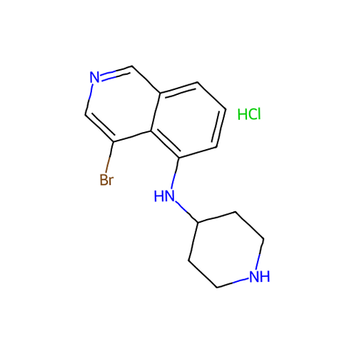 Brc1cncc2cccc(NC3CCNCC3)c12.Cl